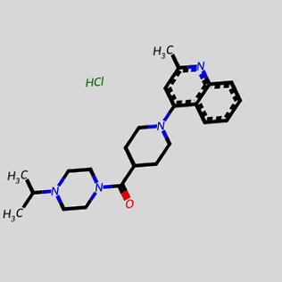 Cc1cc(N2CCC(C(=O)N3CCN(C(C)C)CC3)CC2)c2ccccc2n1.Cl